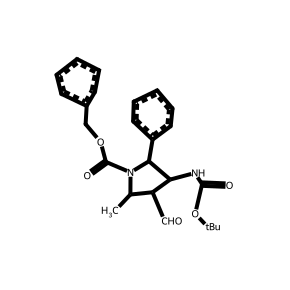 CC1C(C=O)C(NC(=O)OC(C)(C)C)C(c2ccccc2)N1C(=O)OCc1ccccc1